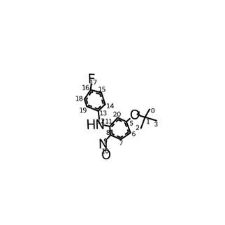 CC(C)(C)Oc1ccc(N=O)c(Nc2ccc(F)cc2)c1